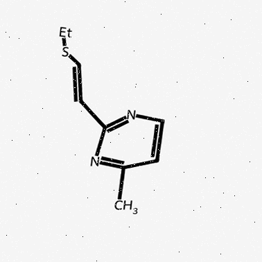 CCS/C=C/c1nccc(C)n1